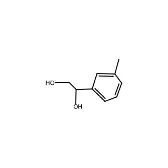 Cc1cccc(C(O)CO)c1